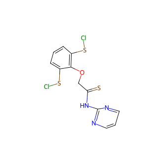 S=C(COc1c(SCl)cccc1SCl)Nc1ncccn1